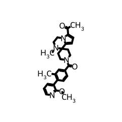 COc1ncccc1-c1ccc(C(=O)N2CCC3(CC2)c2ccc(C(C)=O)n2CCN3C)cc1C